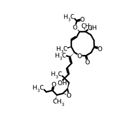 CCC(=O)[C@@H](C)[C@H]1O[C@@H]1CC(C)(O)/C=C/C=C(\C)[C@H]1OC(=O)CC(=O)CC[C@](C)(O)[C@@H](OC(C)=O)/C=C/[C@@H]1C